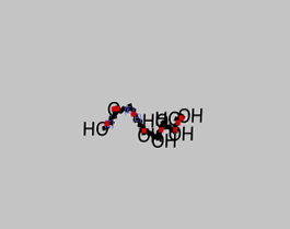 C/C(=C\CCC1(C)OC1CC/C(C)=C/CO)CC/C=C(\C)CCCC(C)(O)CCCCC(C)(O)CCCC(C)(O)CCCC(C)(O)CCC(O)C(C)(C)O